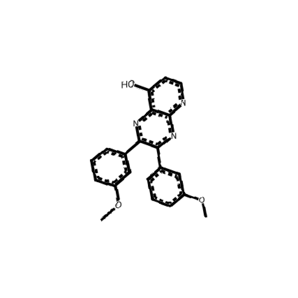 COc1cccc(-c2nc3nccc(O)c3nc2-c2cccc(OC)c2)c1